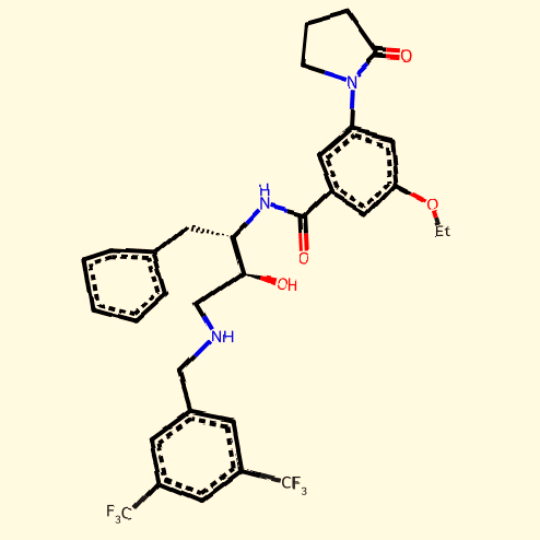 CCOc1cc(C(=O)N[C@@H](Cc2ccccc2)[C@@H](O)CNCc2cc(C(F)(F)F)cc(C(F)(F)F)c2)cc(N2CCCC2=O)c1